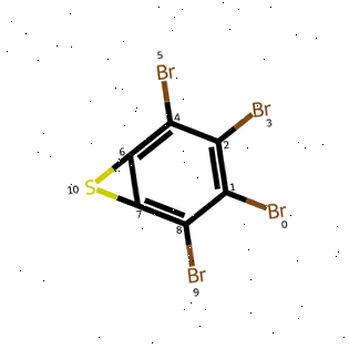 Brc1c(Br)c(Br)c2c(c1Br)S2